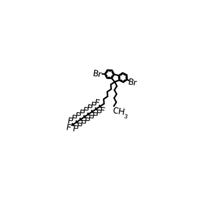 CCCCCCCC1(CCCCCCC(F)(F)C(F)(F)C(F)(F)C(F)(F)C(F)(F)C(F)(F)C(F)(F)C(F)(F)F)c2cc(Br)ccc2-c2ccc(Br)cc21